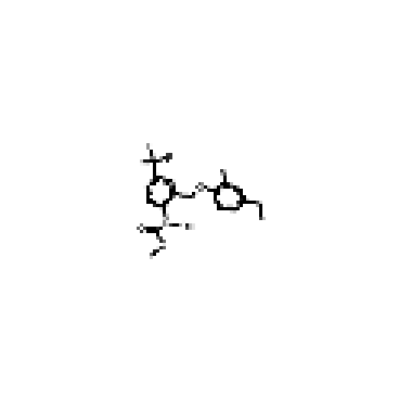 CCc1ccc(OCc2cc(C(F)(F)F)ccc2N(O)C(=O)OC)c(C)c1